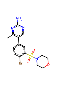 Cc1nc(N)ncc1-c1ccc(Br)c(S(=O)(=O)N2CCOCC2)c1